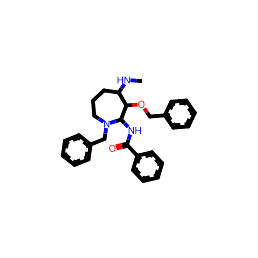 CNC1CCCN(Cc2ccccc2)C(NC(=O)c2ccccc2)C1OCc1ccccc1